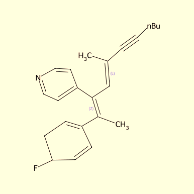 CCCCC#C/C(C)=C/C(=C(\C)C1=CCC(F)C=C1)c1ccncc1